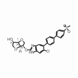 C[C@]12OC[C@@H](Oc3nc4cc(-c5ccc(-c6ccc(S(C)(=O)=O)cc6)cc5)c(Cl)cc4[nH]3)[C@H]1OC[C@H]2O